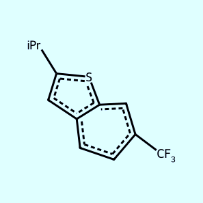 CC(C)c1cc2ccc(C(F)(F)F)cc2s1